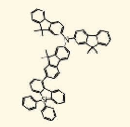 CC1(C)c2ccccc2-c2ccc(N(c3ccc4c(c3)C(C)(C)c3ccccc3-4)c3ccc4c(c3)C(C)(C)c3cc(-c5cccc6c5-c5ccccc5[Si]6(c5ccccc5)c5ccccc5)ccc3-4)cc21